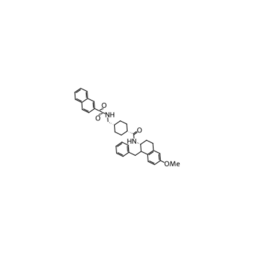 COc1ccc2c(c1)CC[C@@H](NC(=O)[C@H]1CC[C@@H](CNS(=O)(=O)c3ccc4ccccc4c3)CC1)C2Cc1ccccc1